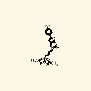 C=P(=O)OP(=O)(C/C=C/Cn1cc2cc(-c3ccc(CCC)cc3)oc2nc1=O)OP(=C)=O